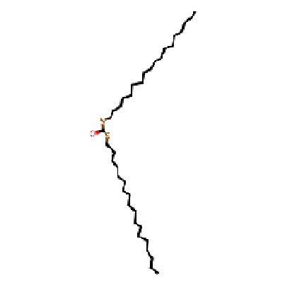 CCCCCCCCCCCCCCCCCCSC(=O)SCCCCCCCCCCCCCCCCCC